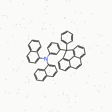 c1ccc(C2(c3cccc(N(c4cccc5ccccc45)c4cccc5ccccc45)c3)c3cccc4ccc5cccc2c5c34)cc1